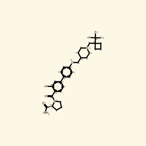 NC(=O)[C@@H]1CCCN1C(=O)c1ccc(-c2ccc(OCC3CCN(CC4(C(F)(F)F)CCC4)CC3)cc2)cc1F